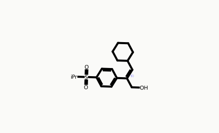 CC(C)S(=O)(=O)c1ccc(/C(=C\C2CCCCC2)CO)cc1